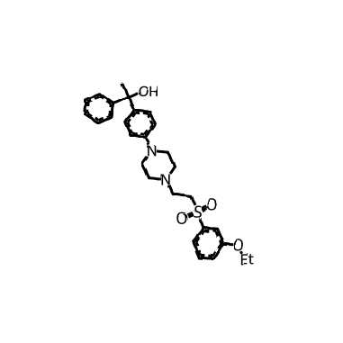 CCOc1cccc(S(=O)(=O)CCN2CCN(c3ccc(C(C)(O)c4ccccc4)cc3)CC2)c1